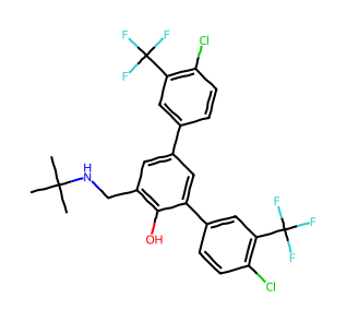 CC(C)(C)NCc1cc(-c2ccc(Cl)c(C(F)(F)F)c2)cc(-c2ccc(Cl)c(C(F)(F)F)c2)c1O